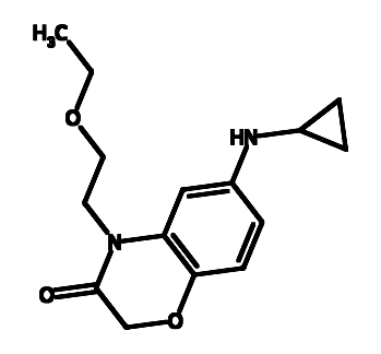 CCOCCN1C(=O)COc2ccc(NC3CC3)cc21